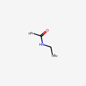 [CH2]CCC(=O)NCCCCC